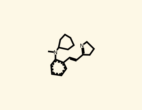 CN(c1ccccc1C=CC1=NCCC1)C1CCCCC1